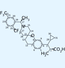 C[C@H](C(=O)O)C(c1ccc2c(c1)OC1(CC2)CCN([C@H](C)c2cc(C(F)(F)F)ccc2C(F)(F)F)CC1)C1CC1